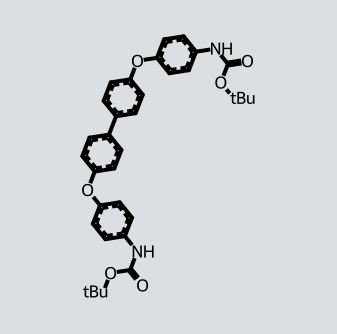 CC(C)(C)OC(=O)Nc1ccc(Oc2ccc(-c3ccc(Oc4ccc(NC(=O)OC(C)(C)C)cc4)cc3)cc2)cc1